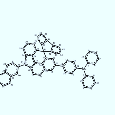 c1ccc(N(c2ccccc2)c2ccc(-c3cc4c5c(ccc6c5c5c(cccc5n6-c5ccc6ccccc6c5)C45c4ccccc4-c4ccccc45)c3)cc2)cc1